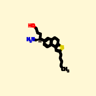 CCCCCc1cc2c(s1)CCc1cc([C@H](CN)CCCO)ccc1-2